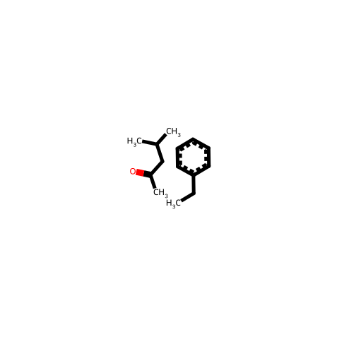 CC(=O)CC(C)C.CCc1ccccc1